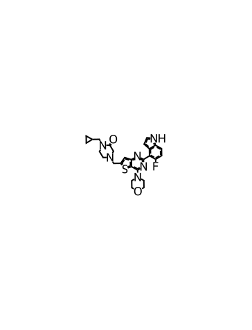 O=C1CN(Cc2cc3nc(-c4c(F)ccc5[nH]ccc45)nc(N4CCOCC4)c3s2)CCN1CC1CC1